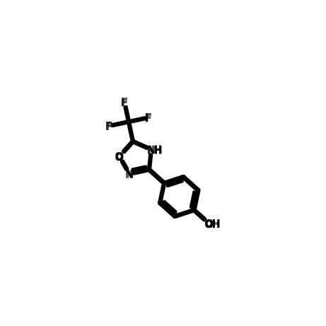 Oc1ccc(C2=NOC(C(F)(F)F)N2)cc1